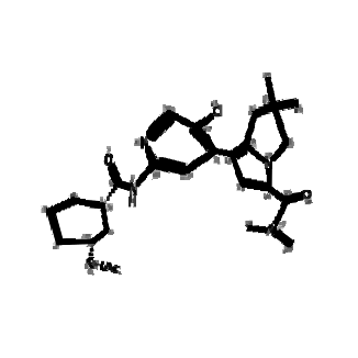 CC(=O)N[C@@H]1CCC[C@H](C(=O)Nc2cc(-c3cc(C(=O)N(C)C)n4c3CC(C)(C)C4)c(Cl)cn2)C1